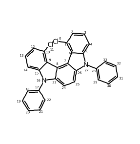 Clc1cccc2c1c1c3c4c(Cl)cccc4n(-c4ccccc4)c3ccc1n2-c1ccccc1